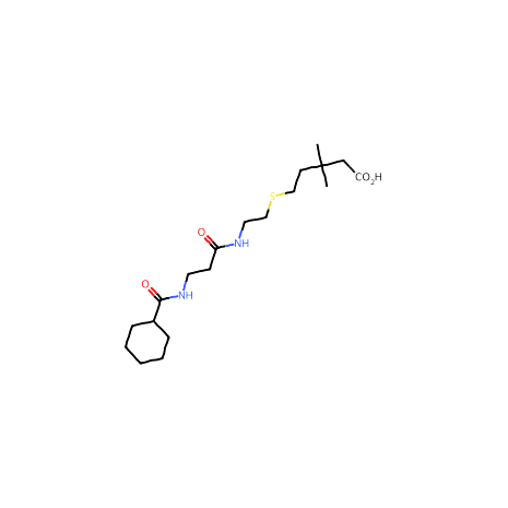 CC(C)(CCSCCNC(=O)CCNC(=O)C1CCCCC1)CC(=O)O